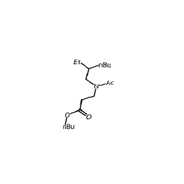 CCCCOC(=O)CCN(CC(CC)CCCC)C(C)=O